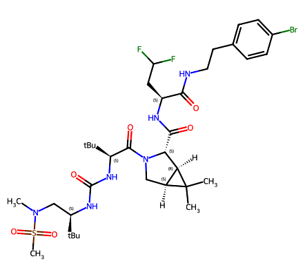 CN(C[C@@H](NC(=O)N[C@H](C(=O)N1C[C@H]2[C@@H]([C@H]1C(=O)N[C@@H](CC(F)F)C(=O)NCCc1ccc(Br)cc1)C2(C)C)C(C)(C)C)C(C)(C)C)S(C)(=O)=O